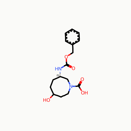 O=C(N[C@H]1CCC(O)CCN(C(=O)O)C1)OCc1ccccc1